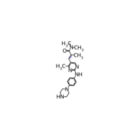 C/C(=C\c1cnc(Nc2ccc(N3CCNCC3)cc2)nc1C)C(=O)N(C)C